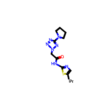 CC(C)c1cnc(NC(=O)Cn2nnc(N3CCCC3)n2)s1